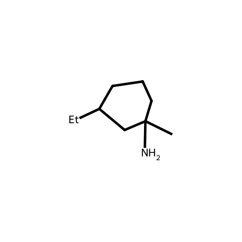 CCC1CCCC(C)(N)C1